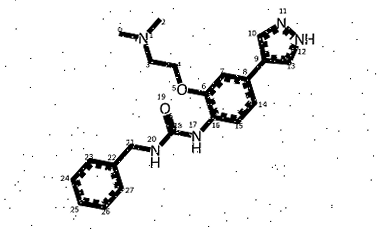 CN(C)CCOc1cc(-c2cn[nH]c2)ccc1NC(=O)NCc1ccccc1